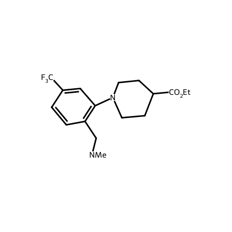 CCOC(=O)C1CCN(c2cc(C(F)(F)F)ccc2CNC)CC1